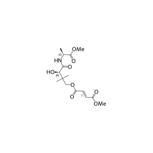 COC(=O)/C=C/C(=O)OCC(C)(C)[C@@H](O)C(=O)N[C@@H](C)C(=O)OC